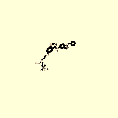 CN(CCCOc1ccc2ncnc(Nc3ccc4c(cnn4Cc4ccccc4)c3)c2c1)CCS(C)(=O)=O